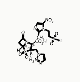 CCS(=O)(=O)CCn1c([N+](=O)[O-])cnc1C.C[C@]1(Cn2ccnn2)[C@H](C(=O)O)N2C(=O)C[C@H]2S1(=O)=O